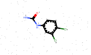 [NH]C(=O)Nc1ccc(Cl)c(Cl)c1